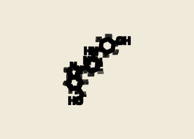 OCc1ccc2cnn(-c3ccnc(N[C@H]4CC[C@H](O)CC4)n3)c2c1